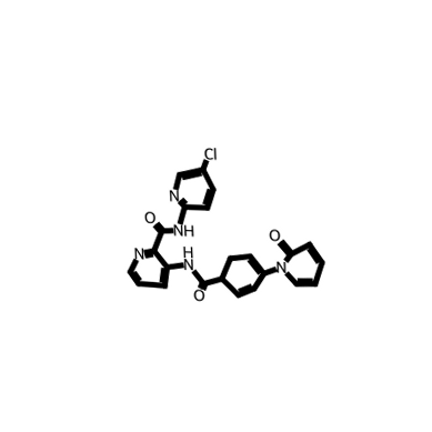 O=C(Nc1ccc(Cl)cn1)c1ncccc1NC(=O)C1C=CC(n2ccccc2=O)=CC1